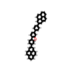 c1cc2ccc3cc(-c4ccc(-c5ccc6c(c5)oc5cc(-c7cc8ccc9cccc%10ccc(c7)c8c9%10)ccc56)cc4)cc4ccc(c1)c2c34